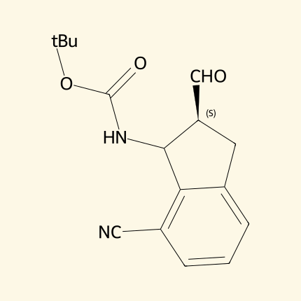 CC(C)(C)OC(=O)NC1c2c(C#N)cccc2C[C@@H]1C=O